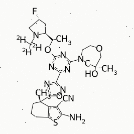 [2H]C([2H])([2H])N1C[C@H](F)C[C@H]1C(C)Oc1nc(-c2noc([C@@]3(C)CCCc4sc(N)c(C#N)c43)n2)nc(N2CCOC[C@@](C)(O)C2)n1